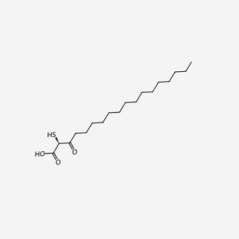 CCCCCCCCCCCCCCCC(=O)[C@H](S)C(=O)O